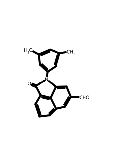 Cc1cc(C)cc(N2C(=O)c3cccc4cc(C=O)cc2c34)c1